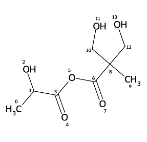 CC(O)C(=O)OC(=O)C(C)(CO)CO